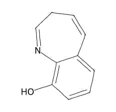 Oc1cccc2c1N=CCC=C2